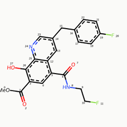 COC(=O)c1cc(C(=O)NCCF)c2cc(Cc3ccc(F)cc3)cnc2c1O